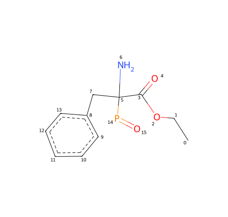 CCOC(=O)C(N)(Cc1ccccc1)P=O